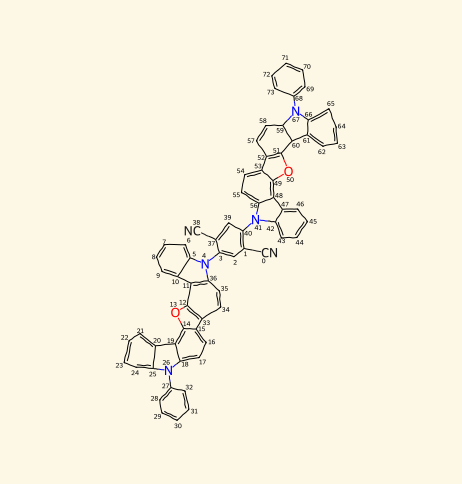 N#Cc1cc(-n2c3ccccc3c3c4oc5c(ccc6c5c5ccccc5n6-c5ccccc5)c4ccc32)c(C#N)cc1-n1c2ccccc2c2c3oc4c(c3ccc21)C=CC1C4c2ccccc2N1c1ccccc1